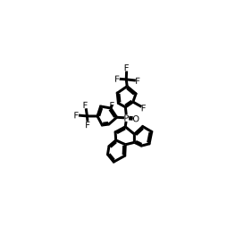 O=P(c1ccc(C(F)(F)F)cc1F)(c1ccc(C(F)(F)F)cc1F)c1cc2ccccc2c2ccccc12